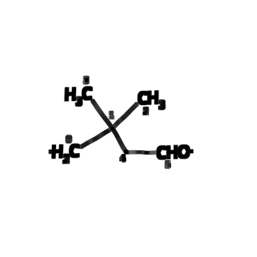 [CH2]C(C)(C)C[C]=O